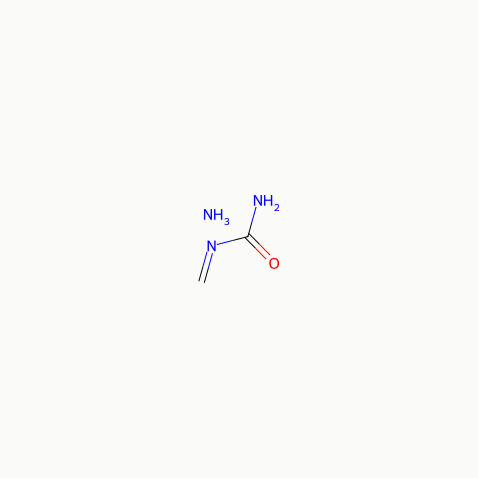 C=NC(N)=O.N